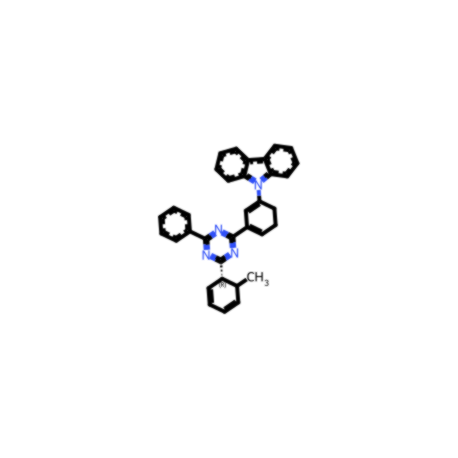 CC1C=CC=C[C@@H]1c1nc(C2=CCCC(n3c4ccccc4c4ccccc43)=C2)nc(-c2ccccc2)n1